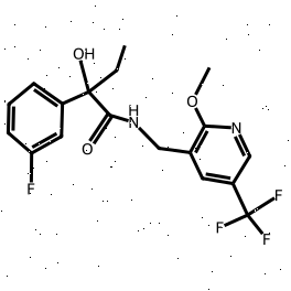 CCC(O)(C(=O)NCc1cc(C(F)(F)F)cnc1OC)c1cccc(F)c1